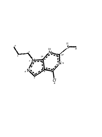 CCCn1ncc2c(Cl)nc(SC)nc21